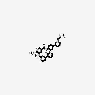 CCCN1CCCC(c2ccc(NC(=O)c3cnc(C)c(Nc4nccc(-c5cccnc5)n4)c3)cc2)C1